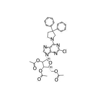 CC(=O)OC[C@H]1O[C@@H](n2cnc3c(N4CCC(c5ccccc5)(c5ccccc5)C4)nc(Cl)nc32)C(OC(C)=O)C1OC(C)=O